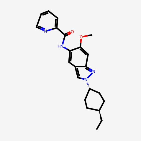 CC[C@H]1CC[C@H](n2cc3cc(NC(=O)c4ccccn4)c(OC)cc3n2)CC1